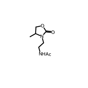 CC(=O)NCCN1C(=O)OCC1C